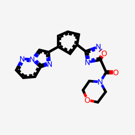 O=C(c1nc(-c2cccc(-c3cn4ncccc4n3)c2)no1)N1CCOCC1